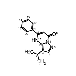 CC(C)c1cnn2c(=O)cc(-c3ccccc3)[nH]c12